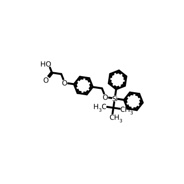 CC(C)(C)[Si](OCc1ccc(OCC(=O)O)cc1)(c1ccccc1)c1ccccc1